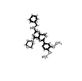 COc1ccc(-c2nnc3nc(NCc4ccccc4)nc(N4CCOCC4)c3n2)cc1OC